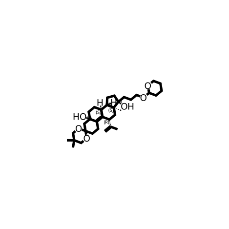 C=C(C)[C@H]1C[C@@]2(C)[C@@H](CC[C@]2(O)CCCOC2CCCCO2)[C@@H]2CC[C@@]3(O)CC4(CCC3=C12)OCC(C)(C)CO4